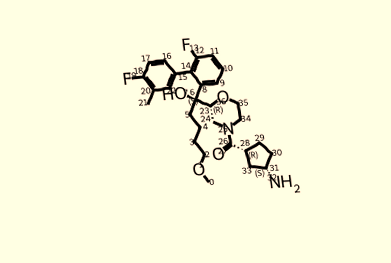 COCCCC[C@](O)(c1cccc(F)c1-c1ccc(F)c(C)c1)[C@H]1CN(C(=O)[C@@H]2CC[C@H](N)C2)CCO1